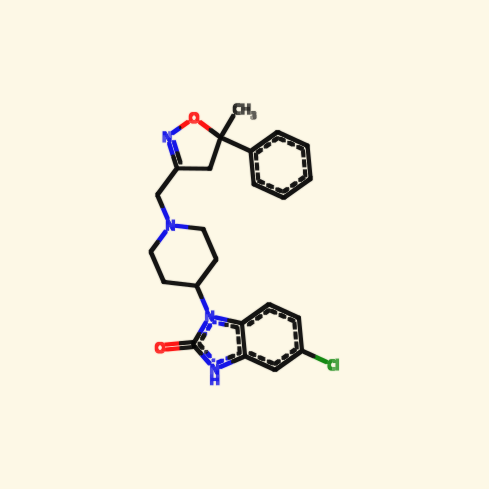 CC1(c2ccccc2)CC(CN2CCC(n3c(=O)[nH]c4cc(Cl)ccc43)CC2)=NO1